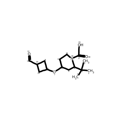 CC(C)(C)C1CC(OC2CC(C=O)C2)CCN1C(=O)O